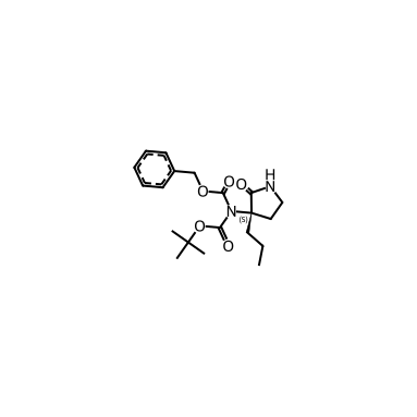 CCC[C@]1(N(C(=O)OCc2ccccc2)C(=O)OC(C)(C)C)CCNC1=O